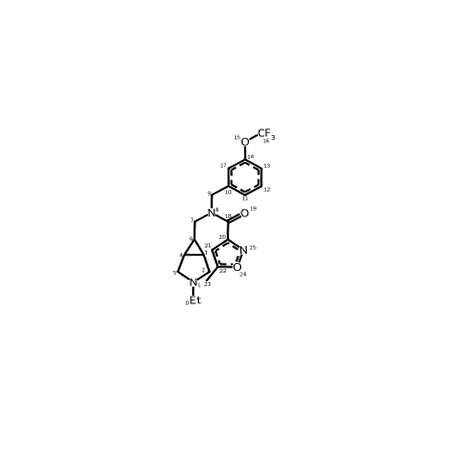 CCN1CC2C(C1)C2CN(Cc1cccc(OC(F)(F)F)c1)C(=O)c1cc(C)on1